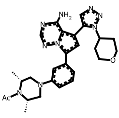 CC(=O)N1[C@H](C)CN(c2cccc(-c3cc(-c4cnnn4C4CCOCC4)c4c(N)ncnn34)c2)C[C@@H]1C